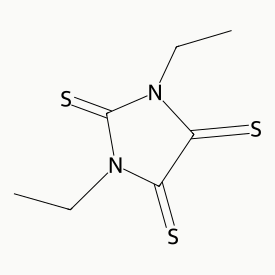 CCN1C(=S)C(=S)N(CC)C1=S